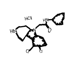 Cl.O=C(Cn1c2c(c3c(Cl)c(Cl)ccc31)CCNCC2)Nc1ccccc1